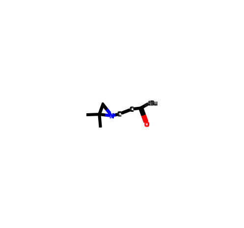 CC(C)(C)C(=O)CCN1CC1(C)C